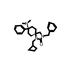 CN(C)[C@]1(c2ccccc2)CC[C@@]2(CC1)CN(Cc1ccccc1)C(=O)N2CC1CCC1